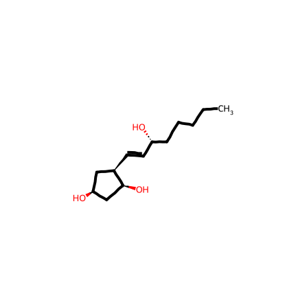 CCCCC[C@@H](O)/C=C/[C@@H]1C[C@H](O)C[C@@H]1O